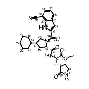 COC(=O)[C@H](C[C@@H]1CCNC1=O)NC(=O)[C@@H]1C[C@@H](C2CCCCC2)CN1C(=O)c1cc2cccc(C#N)c2[nH]1